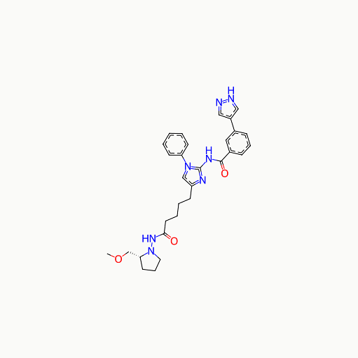 COC[C@H]1CCCN1NC(=O)CCCCc1cn(-c2ccccc2)c(NC(=O)c2cccc(-c3cn[nH]c3)c2)n1